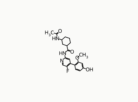 COc1cc(O)ccc1-c1cc(NC(=O)C2CCCC(NC(C)=O)C2)ncc1F